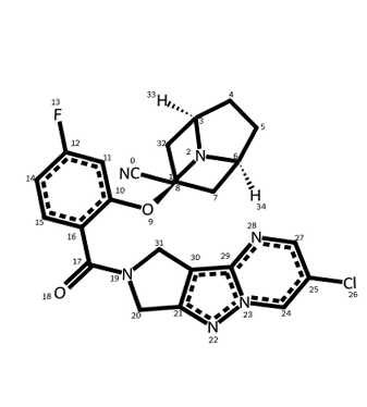 N#CCN1[C@@H]2CC[C@H]1C[C@@H](Oc1cc(F)ccc1C(=O)N1Cc3nn4cc(Cl)cnc4c3C1)C2